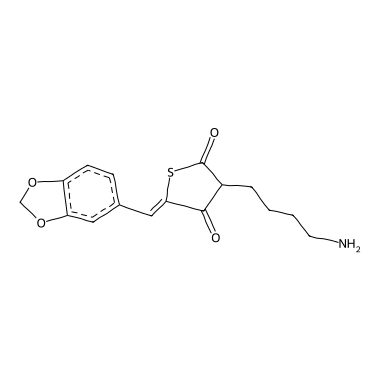 NCCCCC1C(=O)S/C(=C\c2ccc3c(c2)OCO3)C1=O